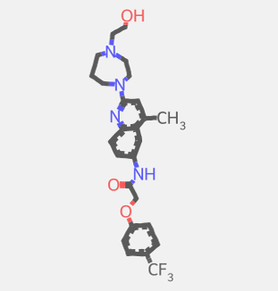 Cc1cc(N2CCCN(CCO)CC2)nc2ccc(NC(=O)COc3ccc(C(F)(F)F)cc3)cc12